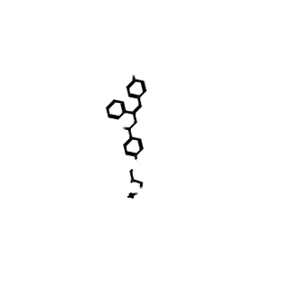 CC1(C)OCC(COc2ccc(C(O)CC(=Cc3ccc(Cl)cc3)c3ccccc3)cc2)O1